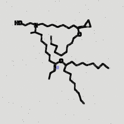 CC/C=C(\CCCCCCC(C)N(CCO)CCCCCCCC(OCCCCCCCCC)=C1CC1)OC(CCCCCCCC)CCCCCCCC